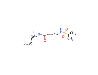 CC(C)S(=O)(=O)NCCCCC(=O)NC/C(F)=C\C=C/CF